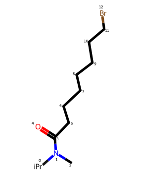 CC(C)N(C)C(=O)CCCCCCCBr